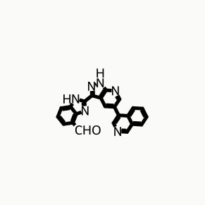 O=Cc1cccc2[nH]c(-c3n[nH]c4ncc(-c5cncc6ccccc56)cc34)nc12